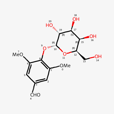 COc1cc(C=O)cc(OC)c1O[C@H]1O[C@H](CO)[C@H](O)[C@H](O)[C@H]1O